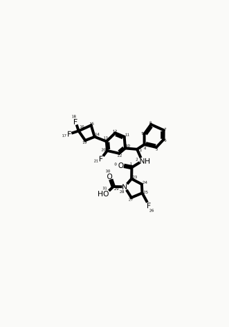 O=C(NC(c1ccccc1)c1ccc(C2CC(F)(F)C2)c(F)c1)C1CC(F)CN1C(=O)O